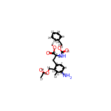 COC(=O)C(Cc1ccc(N)c(C)c1COC(C)=O)NC(=O)OCc1ccccc1